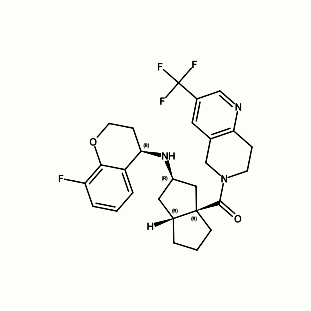 O=C(N1CCc2ncc(C(F)(F)F)cc2C1)[C@@]12CCC[C@@H]1C[C@@H](N[C@@H]1CCOc3c(F)cccc31)C2